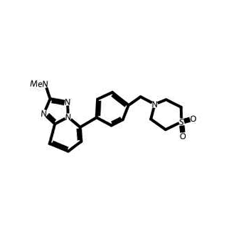 CNc1nc2cccc(-c3ccc(CN4CCS(=O)(=O)CC4)cc3)n2n1